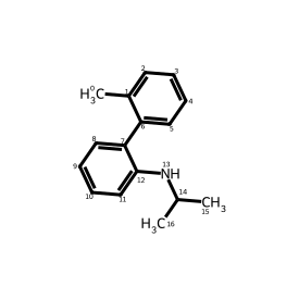 Cc1ccccc1-c1ccccc1NC(C)C